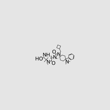 CN(C(=O)CN1C[C@]2(CC[C@](c3ccccc3)(N(C)C)CC2)N(CC2CCC2)C1=O)C(C)(C)C(N)O